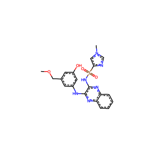 COCc1cc(O)cc(Nc2nc3ccccc3nc2NS(=O)(=O)c2cn(C)cn2)c1